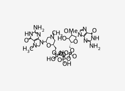 CO[C@@H]1[C@H](O)[C@@H](COP(=O)(O)OP(=O)(O)OP(=O)(O)OC[C@@H]2CN(C)C[C@H](N3CN(C)c4c3nc(N)[nH]c4=O)O2)O[C@H]1n1cnc2c(=O)[nH]c(N)nc21